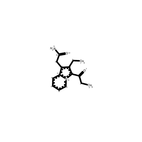 CCC(=O)c1c(CC)c(CC(N)=O)c2ccccn12